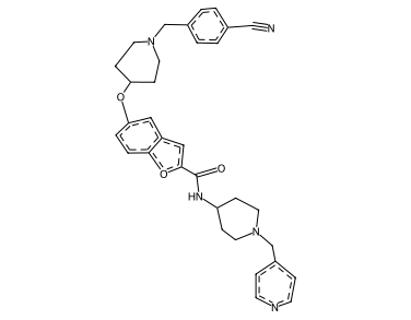 N#Cc1ccc(CN2CCC(Oc3ccc4oc(C(=O)NC5CCN(Cc6ccncc6)CC5)cc4c3)CC2)cc1